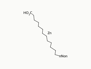 CCCCCCCCCCCCCCCCCCCCCC(=O)O.[Zn]